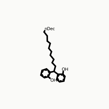 CCCCCCCCCCCCCCCCCCCCC(c1ccccc1O)c1ccccc1O